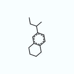 CCC(C)c1ccc2c(c1)CCCC2